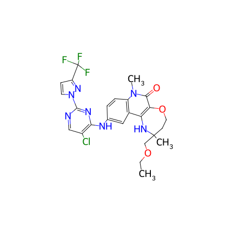 CCOCC1(C)CCOc2c(c3cc(Nc4nc(-n5ccc(C(F)(F)F)n5)ncc4Cl)ccc3n(C)c2=O)N1